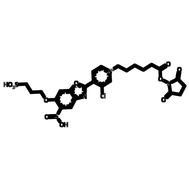 O=C(CCCCC[n+]1ccc(-c2nc3cc(S(=O)O)c(OCCCS(=O)(=O)O)cc3o2)c(Cl)c1)ON1C(=O)CCC1=O